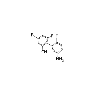 N#Cc1cc(F)cc(F)c1-c1cc(N)ccc1F